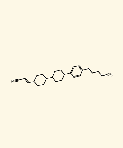 CCCCCc1ccc(C2CCC(C3CCC(C=CC#N)CC3)CC2)cc1